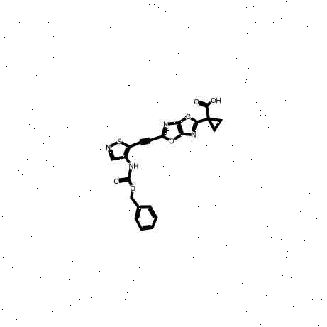 O=C(Nc1cnsc1C#Cc1nc2oc(C3(C(=O)O)CC3)nc2o1)OCc1ccccc1